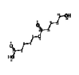 O=C(O)CCCCOC(=O)CCCCO